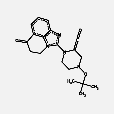 CC(C)(C)ON1CCN(c2nc3cccc4c3n2CCC4=O)C(=C=O)C1